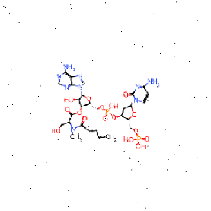 C=CCCC(=O)N(C)[C@@H](CO)C(=O)O[C@@H]1[C@@H](COP(=O)(O)O[C@H]2C[C@H](n3ccc(N)nc3=O)O[C@@H]2COP(=O)(O)O)OC(n2cnc3c(N)ncnc32)[C@@H]1O